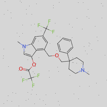 CN1CCC(COCc2cc(C(F)(F)F)cc3c2c(OC(=O)C(F)(F)F)cn3C)(c2ccccc2)CC1